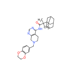 CC(C)(C(=O)Nc1ncnc2c1CCN(Cc1ccc3c(c1)OCCO3)C2)C12CC3CC(CC(C3)C1)C2